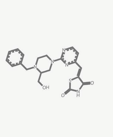 O=C1NC(=O)C(=Cc2ccnc(N3CCN(Cc4ccccc4)C(CO)C3)n2)S1